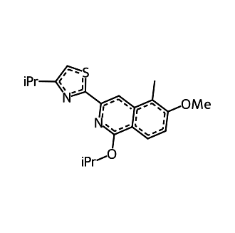 COc1ccc2c(OC(C)C)nc(-c3nc(C(C)C)cs3)cc2c1C